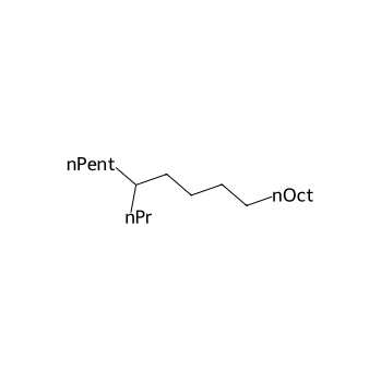 [CH2]CCCCC(CCC)CCCCCCCCCCCC